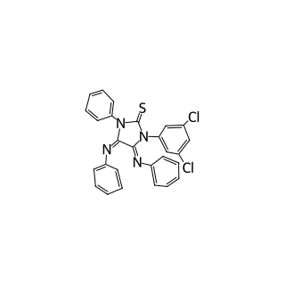 S=C1N(c2ccccc2)C(=Nc2ccccc2)C(=Nc2ccccc2)N1c1cc(Cl)cc(Cl)c1